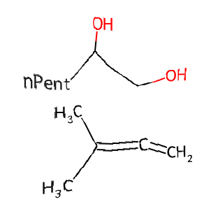 C=C=C(C)C.CCCCCC(O)CO